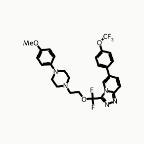 COc1ccc(N2CCN(CCOC(F)(F)c3nnc4ccc(-c5ccc(OC(F)(F)F)cc5)cn34)CC2)cc1